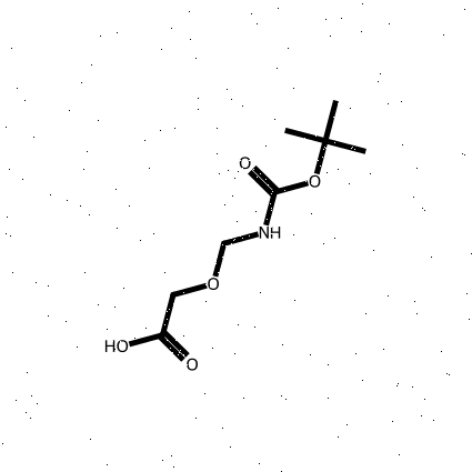 CC(C)(C)OC(=O)NCOCC(=O)O